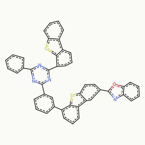 c1ccc(-c2nc(-c3cccc(-c4cccc5c4sc4ccc(-c6nc7ccccc7o6)cc45)c3)nc(-c3cccc4c3sc3ccccc34)n2)cc1